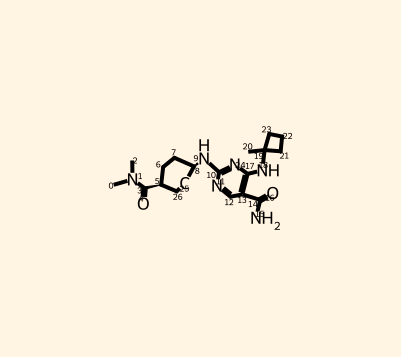 CN(C)C(=O)[C@H]1CC[C@H](Nc2ncc(C(N)=O)c(NC3(C)CCC3)n2)CC1